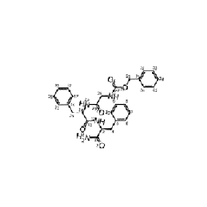 NC(=O)[C@H](Cc1ccccc1)NC(=O)[C@H](Cc1ccccc1)NC(=O)CNC(=O)OCc1ccccc1